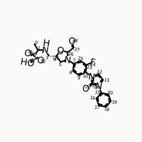 CC(NC[C@H]1CN(c2ccc(-n3ccn(-c4ccccc4)c3=O)c(F)c2)C(C=O)O1)S(=O)(=O)O